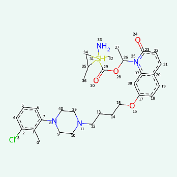 Cc1c(Cl)cccc1N1CCN(CCCCOc2ccc3ccc(=O)n(C(C)OC(=O)[SH]4(C)(N)CC4C)c3c2)CC1